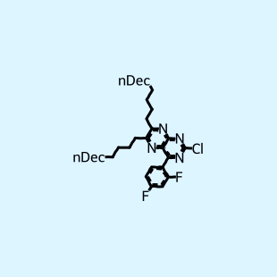 CCCCCCCCCCCCCCc1nc2nc(Cl)nc(-c3ccc(F)cc3F)c2nc1CCCCCCCCCCCCCC